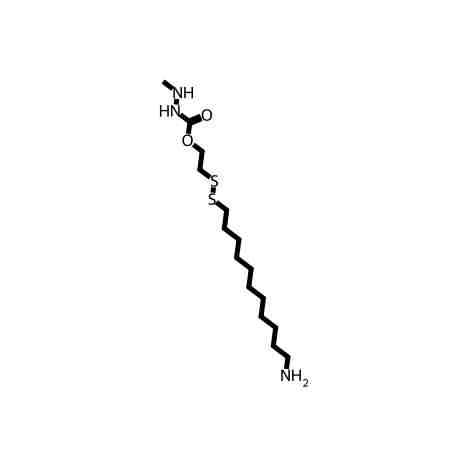 CNNC(=O)OCCSSCCCCCCCCCCCN